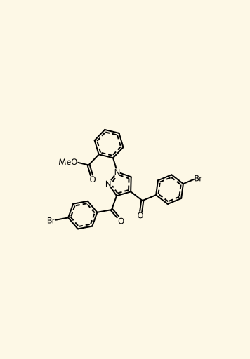 COC(=O)c1ccccc1-n1cc(C(=O)c2ccc(Br)cc2)c(C(=O)c2ccc(Br)cc2)n1